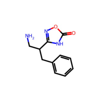 NCC(Cc1ccccc1)c1noc(=O)[nH]1